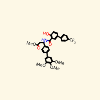 COC(=O)CC(NC(=O)c1cc(-c2ccc(C(F)(F)F)cc2)ccc1O)c1ccc(-c2cc(OC)c(OC)c(OC)c2)cc1